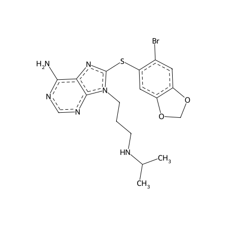 CC(C)NCCCn1c(Sc2cc3c(cc2Br)OCO3)nc2c(N)ncnc21